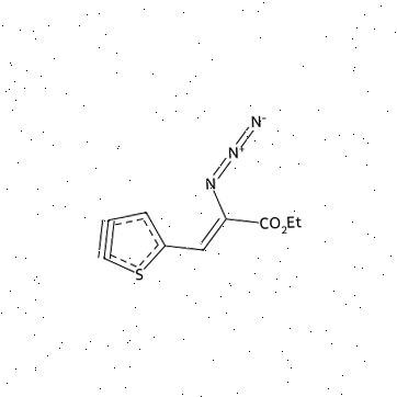 CCOC(=O)/C(=C/c1cc#cs1)N=[N+]=[N-]